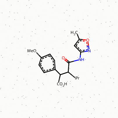 COc1ccc(C(C(=O)O)C(C(=O)Nc2cc(C)on2)C(C)C)cc1